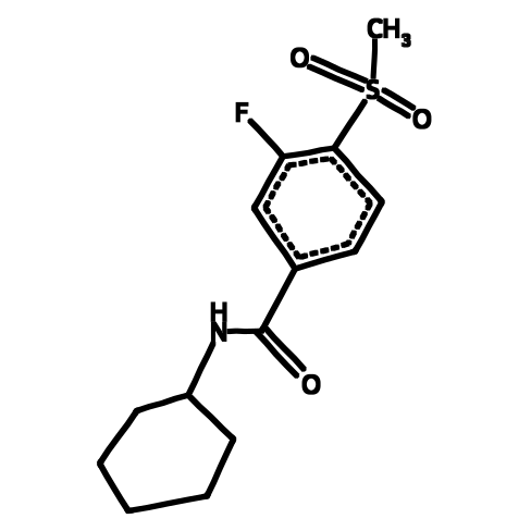 CS(=O)(=O)c1ccc(C(=O)NC2CCCCC2)cc1F